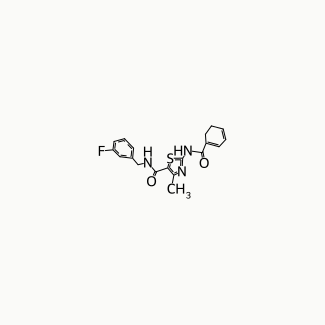 Cc1nc(NC(=O)C2=CC=CCC2)sc1C(=O)NCc1cccc(F)c1